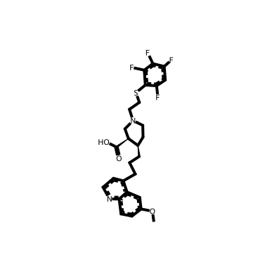 COc1ccc2nccc(CCC[C@@H]3CCN(CCSc4c(F)cc(F)c(F)c4F)C[C@@H]3C(=O)O)c2c1